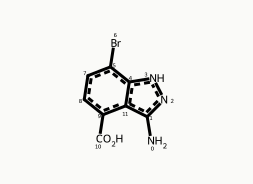 Nc1n[nH]c2c(Br)ccc(C(=O)O)c12